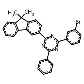 CC1(C)c2ccccc2-c2cc(-c3nc(-c4ccccc4)nc(-c4cccc(Br)c4)n3)ccc21